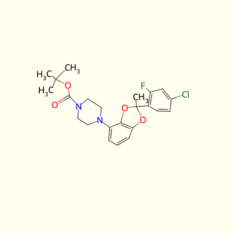 CC(C)(C)OC(=O)N1CCN(c2cccc3c2OC(C)(c2ccc(Cl)cc2F)O3)CC1